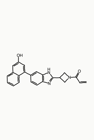 C=CC(=O)N1CC(c2nc3ccc(-c4cc(O)cc5ccccc45)cc3[nH]2)C1